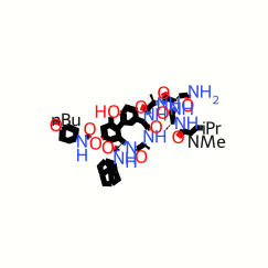 CCCCOc1ccc(NC(=O)Oc2cc(C)c3c(c2)[C@@H](C(=O)NC2C4CC5CC(C4)CC2C5)NC(=O)[C@H](C)NC(=O)[C@H](NC(=O)[C@@H](C)NC(=O)[C@H](CC(N)=O)NC(=O)[C@@H](C)NC(=O)[C@@H](CC(C)C)NC)c2ccc(O)c-3c2)cc1